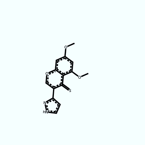 COc1cc(OC)c2c(=S)c(-c3cc[nH]n3)coc2c1